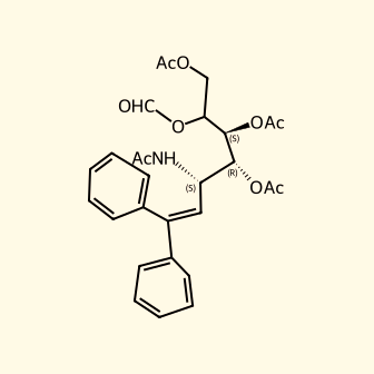 CC(=O)N[C@@H](C=C(c1ccccc1)c1ccccc1)[C@@H](OC(C)=O)[C@H](OC(C)=O)C(COC(C)=O)OC=O